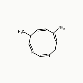 CC1/C=C\C(N)=C/C/N=C\N=C/1